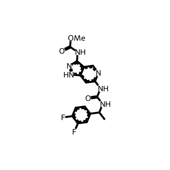 COC(=O)Nc1n[nH]c2cc(NC(=O)NC(C)c3ccc(F)c(F)c3)ncc12